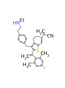 C=C(C#N)C1=Cc2sc(C(=C)c3c(C)cc(F)cc3C)c(Cc3ccc(CCNCC)cc3)c2CC1